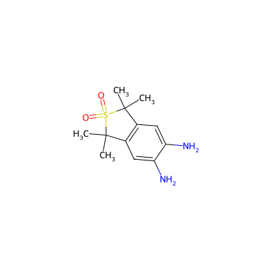 CC1(C)c2cc(N)c(N)cc2C(C)(C)S1(=O)=O